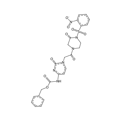 O=C(Nc1ccn(CC(=O)N2CCN(S(=O)(=O)c3ccccc3[N+](=O)[O-])C(=O)C2)c(=O)n1)OCc1ccccc1